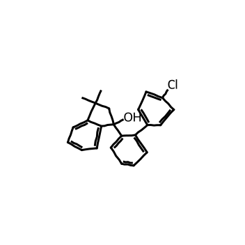 CC1(C)CC(O)(c2ccccc2-c2ccc(Cl)cc2)c2ccccc21